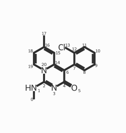 CNc1nc(=O)c(-c2ccccc2Cl)c2cc(C)ccn12